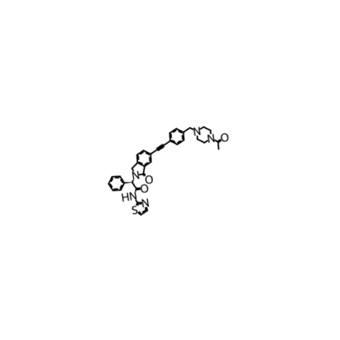 CC(=O)N1CCN(Cc2ccc(C#Cc3ccc4c(c3)C(=O)N([C@@H](C(=O)Nc3nccs3)c3ccccc3)C4)cc2)CC1